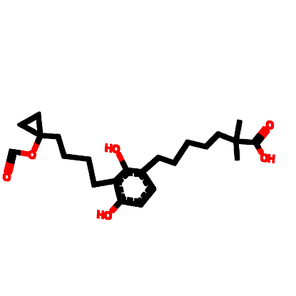 CC(C)(CCCCCc1ccc(O)c(CCCCC2(OC=O)CC2)c1O)C(=O)O